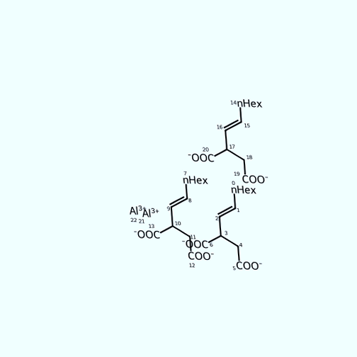 CCCCCCC=CC(CC(=O)[O-])C(=O)[O-].CCCCCCC=CC(CC(=O)[O-])C(=O)[O-].CCCCCCC=CC(CC(=O)[O-])C(=O)[O-].[Al+3].[Al+3]